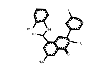 Cc1cc(C(C)Nc2ccccc2C(=O)O)c2cc(-c3cncc(F)c3)n(C)c(=O)c2c1